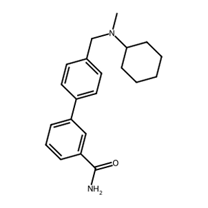 CN(Cc1ccc(-c2cccc(C(N)=O)c2)cc1)C1CCCCC1